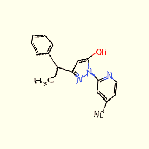 CC(c1ccccc1)c1cc(O)n(-c2cc(C#N)ccn2)n1